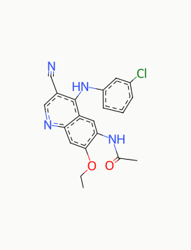 CCOc1cc2ncc(C#N)c(Nc3cccc(Cl)c3)c2cc1NC(C)=O